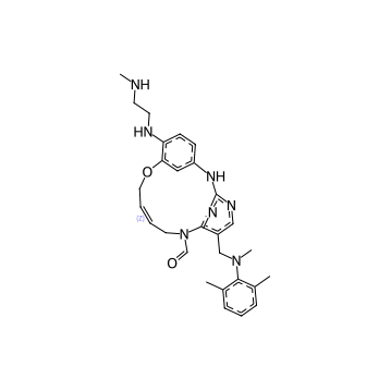 CNCCNc1ccc2cc1OC/C=C\CN(C=O)c1nc(ncc1CN(C)c1c(C)cccc1C)N2